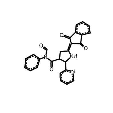 O=CN(C(=O)C1CC(=C2C(=O)c3ccccc3C2=O)NC1c1ccccn1)c1ccccc1